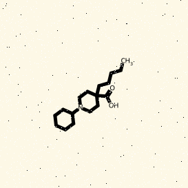 CCCCCC1(C(=O)O)CCN(C2CCCCC2)CC1